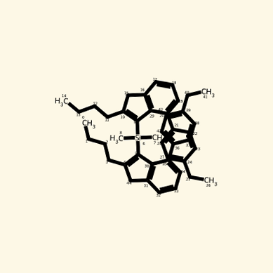 CCCCC1=C([Si](C)(C)C2=C(CCCC)[CH]c3cccc(-c4ccc(CC)cc4)c32)c2c(cccc2-c2ccc(CC)cc2)[CH]1